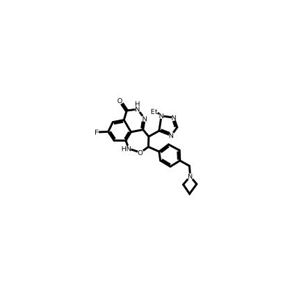 CCn1ncnc1C1c2n[nH]c(=O)c3cc(F)cc(c23)NOC1c1ccc(CN2CCC2)cc1